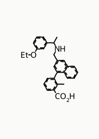 CCOc1cccc(C(C)NCc2cc(-c3cccc(C(=O)O)c3C)c3ccccc3c2)c1